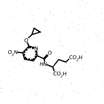 O=C(O)CCC(NC(=O)c1ccc([N+](=O)[O-])c(OC2CC2)n1)C(=O)O